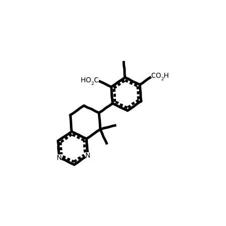 Cc1c(C(=O)O)ccc(C2CCc3cncnc3C2(C)C)c1C(=O)O